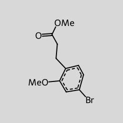 COC(=O)CCc1ccc(Br)cc1OC